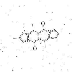 Cc1cc2c(C)c3c(=O)n4cccc4c(C)c3c(=O)n2c1